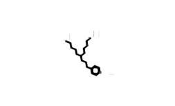 CCCCCCC(CCCCCC)CCCc1ccc(O)cc1